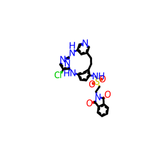 O=C1c2ccccc2C(=O)N1CCS(=O)(=O)Nc1ccc2cc1CCc1cncc(c1)Nc1ncc(Cl)c(n1)N2